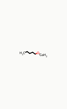 CCCCC[O][GaH2]